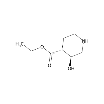 CCOC(=O)[C@@H]1CCNC[C@H]1O